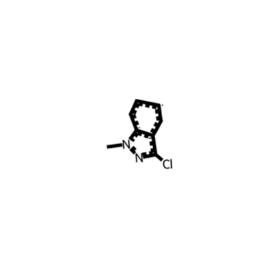 Cn1nc(Cl)c2c[c]ccc21